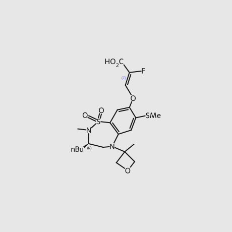 CCCC[C@@H]1CN(C2(C)COC2)c2cc(SC)c(O/C=C(\F)C(=O)O)cc2S(=O)(=O)N1C